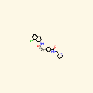 O=C(NCc1ccccn1)c1ccc([C@@H]2C[C@H]2C(=O)Nc2ccc3cccc(Cl)c3c2)cc1